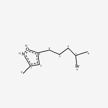 Cc1cc(CCCC(C)Br)on1